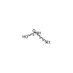 CCSCSCSCCNC(=O)SCCCO